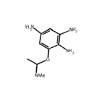 CNC(C)Oc1cc(N)cc(N)c1N